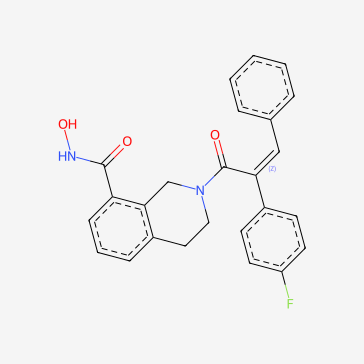 O=C(NO)c1cccc2c1CN(C(=O)/C(=C\c1ccccc1)c1ccc(F)cc1)CC2